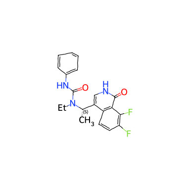 CCN(C(=O)Nc1ccccc1)[C@@H](C)c1c[nH]c(=O)c2c(F)c(F)ccc12